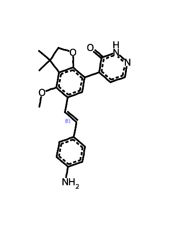 COc1c(/C=C/c2ccc(N)cc2)cc(-c2ccn[nH]c2=O)c2c1C(C)(C)CO2